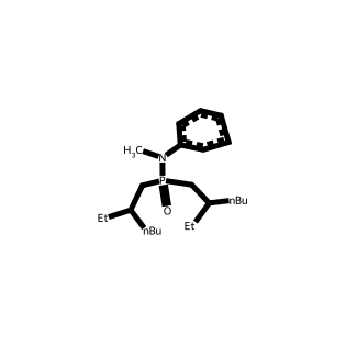 CCCCC(CC)CP(=O)(CC(CC)CCCC)N(C)c1ccccc1